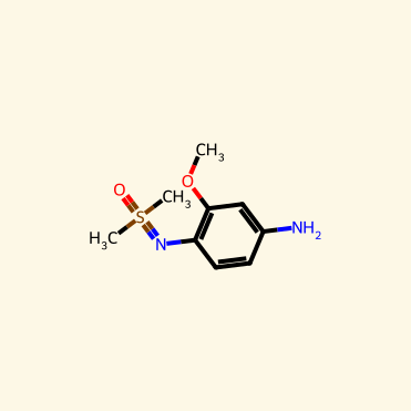 COc1cc(N)ccc1N=S(C)(C)=O